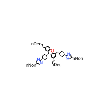 CCCCCCCCCCCCc1ccc(Oc2ccc(CCCCCCCCCCCC)cc2C[C@H]2CC[C@H](c3ncc(CCCCCCCCC)cn3)CC2)c(C[C@H]2CC[C@H](c3ncc(CCCCCCCCC)cn3)CC2)c1